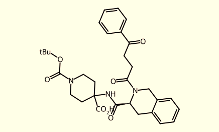 CC(C)(C)OC(=O)N1CCC(NC(=O)[C@@H]2Cc3ccccc3CN2C(=O)CCC(=O)c2ccccc2)(C(=O)O)CC1